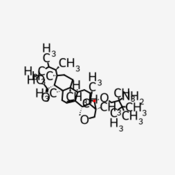 CC(C)[C@@H](C)[C@@]1(C)CC[C@]2(C)[C@H]3CC[C@@H]4[C@@]5(COC[C@]4(C)[C@@H](OC[C@](C)(N)C(C)(C)C)[C@H](C)C5)C3=CC[C@@]2(C)[C@@H]1C(=O)O